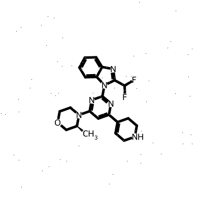 C[C@H]1COCCN1c1cc(C2=CCNCC2)nc(-n2c(C(F)F)nc3ccccc32)n1